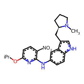 CC(C)Oc1ccc([N+](=O)[O-])c(Nc2ccc3[nH]cc(C[C@H]4CCCN4C)c3c2)n1